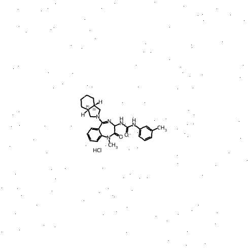 Cc1cccc(NC(=O)NC2N=C(N3C[C@H]4CCCC[C@H]4C3)c3ccccc3N(C)C2=O)c1.Cl